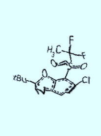 CC(C)(C)c1nc2ccc(Cl)c(S(=O)(=O)C(C)(F)F)c2o1